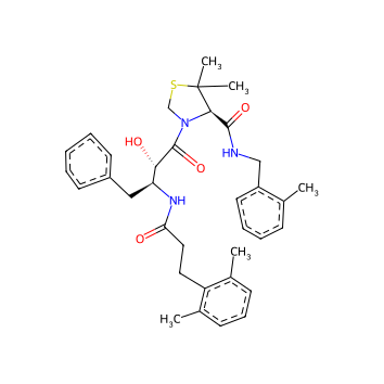 Cc1ccccc1CNC(=O)[C@H]1N(C(=O)[C@@H](O)[C@H](Cc2ccccc2)NC(=O)CCc2c(C)cccc2C)CSC1(C)C